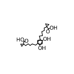 O=C(O)C1(CCCCCc2cc(CCCCCC3(C(=O)O)CC3)c(O)cc2O)CC1